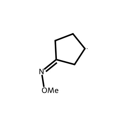 CO/N=C1\C[CH]CC1